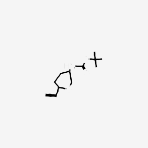 C=CC1CCC(NC(=O)OC(C)(C)C)CO1